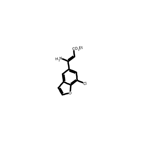 CCOC(=O)C=C(N)c1cc(Cl)c2occc2c1